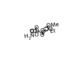 CCOc1cc(CS(=O)(=O)CCN2C(=O)c3cccc(N)c3C2=O)ccc1OC